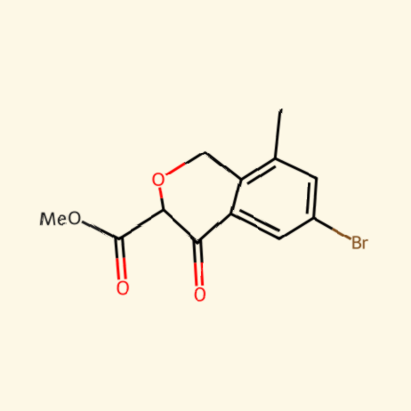 COC(=O)C1OCc2c(C)cc(Br)cc2C1=O